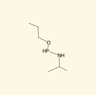 CCCOPNC(C)C